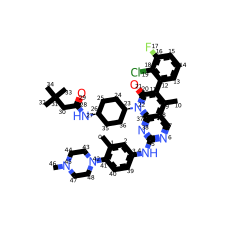 Cc1cc(Nc2ncc3c(C)c(-c4cccc(F)c4Cl)c(=O)n([C@H]4CC[C@@H](NC(=O)CC(C)(C)C)CC4)c3n2)ccc1N1CCN(C)CC1